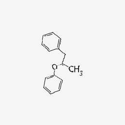 C[C](Cc1ccccc1)Oc1ccccc1